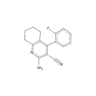 N#Cc1c(N)nc2c(c1-c1ccccc1F)CCCC2